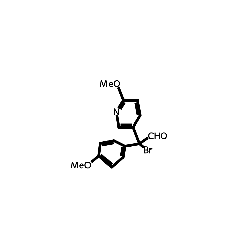 COc1ccc(C(Br)(C=O)c2ccc(OC)nc2)cc1